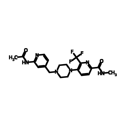 CNC(=O)c1ccc(N2CCN(Cc3ccnc(NC(C)=O)c3)CC2)c(C(F)(F)F)n1